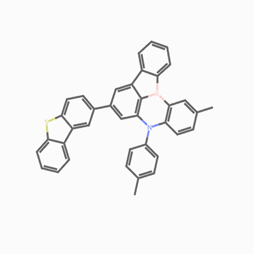 Cc1ccc(N2c3ccc(C)cc3B3c4ccccc4-c4cc(-c5ccc6sc7ccccc7c6c5)cc2c43)cc1